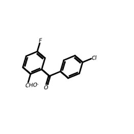 O=[C]c1ccc(F)cc1C(=O)c1ccc(Cl)cc1